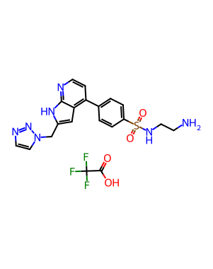 NCCNS(=O)(=O)c1ccc(-c2ccnc3[nH]c(Cn4ccnn4)cc23)cc1.O=C(O)C(F)(F)F